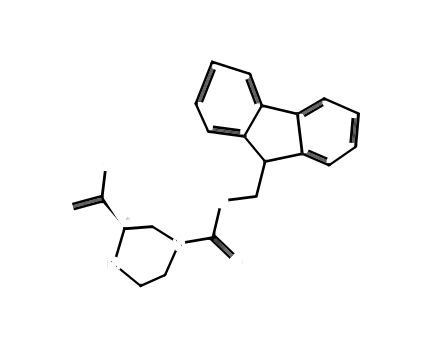 O=C(O)[C@H]1CN(C(=O)OCC2c3ccccc3-c3ccccc32)CCN1